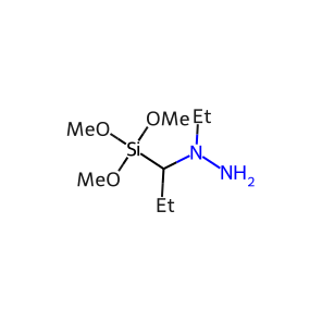 CCC(N(N)CC)[Si](OC)(OC)OC